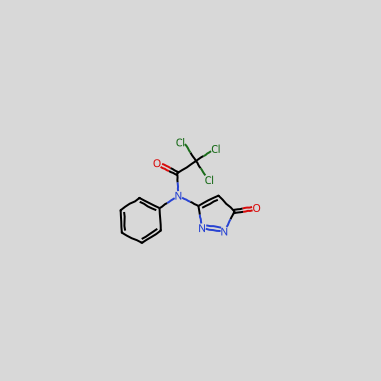 O=C1C=C(N(C(=O)C(Cl)(Cl)Cl)c2ccccc2)N=N1